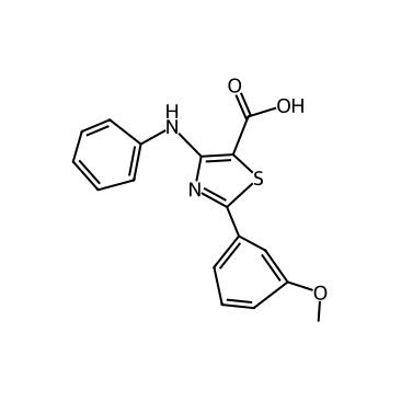 COc1cccc(-c2nc(Nc3ccccc3)c(C(=O)O)s2)c1